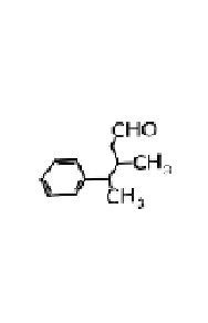 CC(CC=O)C(C)c1ccccc1